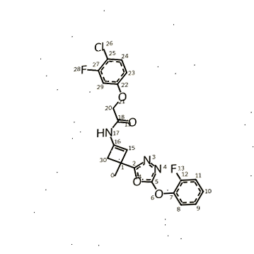 CC1(c2nnc(Oc3ccccc3F)o2)C=C(NC(=O)COc2ccc(Cl)c(F)c2)C1